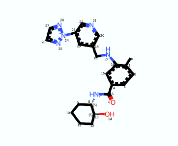 Cc1ccc(C(=O)N[C@H]2CCCC[C@@H]2O)cc1NCc1cncc(-n2nccn2)c1